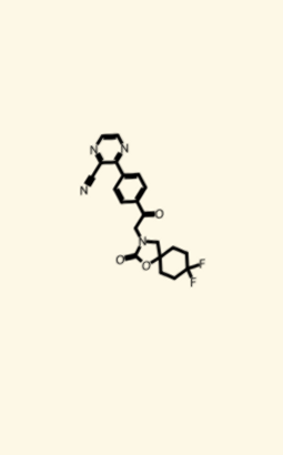 N#Cc1nccnc1-c1ccc(C(=O)CN2CC3(CCC(F)(F)CC3)OC2=O)cc1